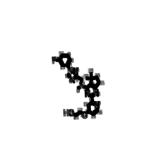 CN(Cc1ncn(-c2cccc(F)c2)n1)c1nc(-c2cc(OCCO)ccn2)nc2c1C(C)(C)CC2